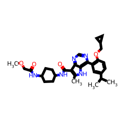 COCC(=O)NC1CCC(NC(=O)c2c(C)[nH]c3c(-c4cc(C(C)C)ccc4OCC4CC4)ncnc23)CC1